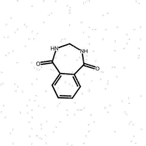 O=C1NCNC(=O)c2ccccc21